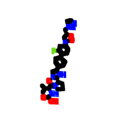 CC(C)[C@H](NC(=O)O)C(=O)N1CCC[C@H]1c1ncc(-c2ccc(-c3ccc(N4C[C@@H](Cn5ccnn5)OO4)cc3F)cc2)[nH]1